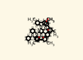 Cc1ccc2c(c1)c1cc(C)ccc1n2-c1nc(N2c3ccccc3N(c3ccccc3)c3ccccc32)c(-n2c3ccc(C)cc3c3cc(C)ccc32)c(-c2c(C)cccc2C)c1-n1c2ccc(C)cc2c2cc(C)ccc21